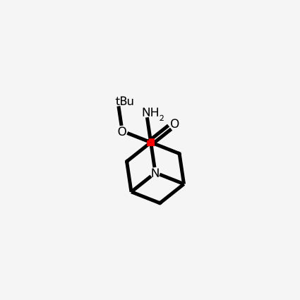 CC(C)(C)OC(=O)N1C2CC(N)CC1C2